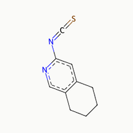 S=C=Nc1cc2c(cn1)CCCC2